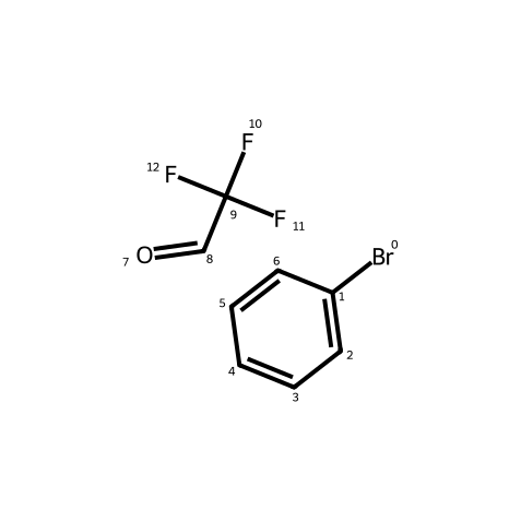 Brc1ccccc1.O=CC(F)(F)F